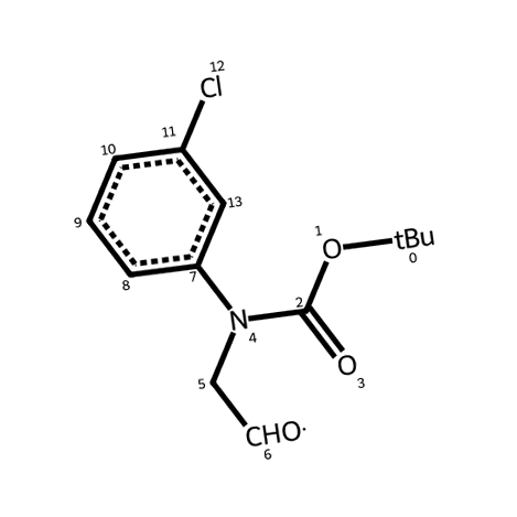 CC(C)(C)OC(=O)N(C[C]=O)c1cccc(Cl)c1